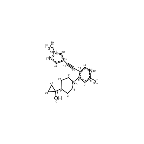 OC1(C2CCN(c3cc(Cl)ncc3C#Cc3cnn(C(F)(F)F)c3)CC2)CC1